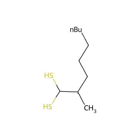 CCCCCCC[C](C)C(S)S